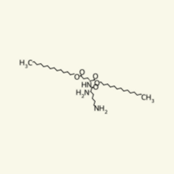 CCCCCCCCCCCCCCOC(=O)CC[C@H](NC(=O)[C@@H](N)CCCCN)C(=O)OCCCCCCCCCCCCCC